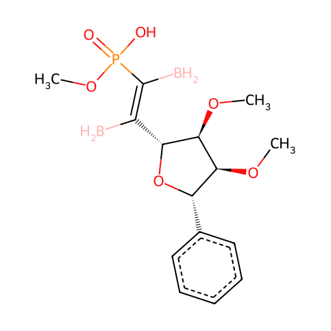 B/C(=C(/B)P(=O)(O)OC)[C@H]1O[C@@H](c2ccccc2)[C@H](OC)[C@@H]1OC